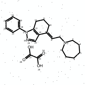 C(CN1CCCCCC1)=C1CCCc2c1cnn2-c1ccccc1.O=C(O)C(=O)O